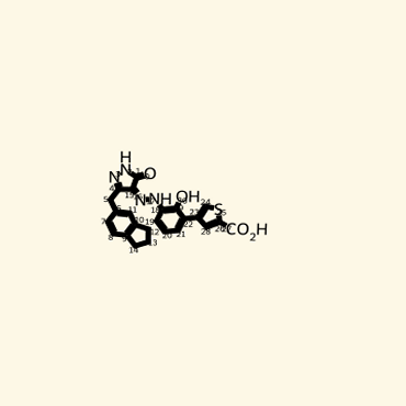 O=C1NN=C(Cc2ccc3c(c2)CCC3)C1=NNc1cccc(-c2csc(C(=O)O)c2)c1O